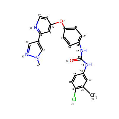 Cn1cc(-c2cc(Oc3ccc(NC(=O)Nc4ccc(Cl)c(C(F)(F)F)c4)cc3)ccn2)cn1